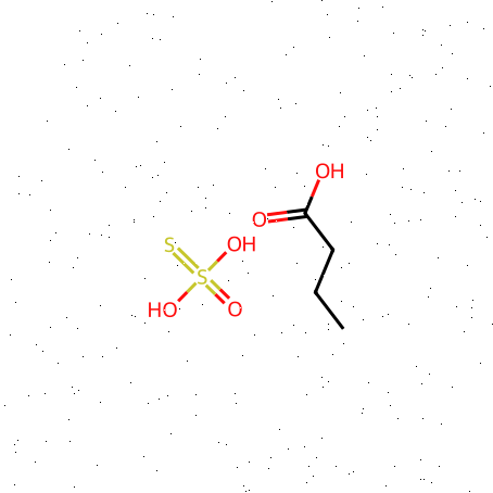 CCCC(=O)O.O=S(O)(O)=S